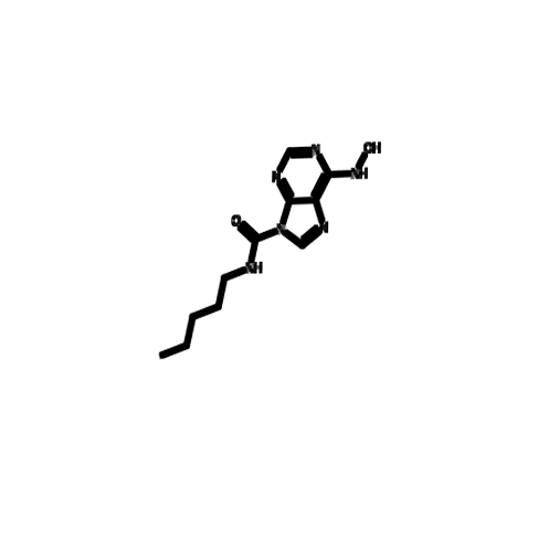 CCCCCNC(=O)n1cnc2c(NO)ncnc21